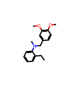 CCc1ccccc1N(C)Cc1ccc(OC)c(OC)c1